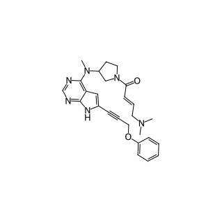 CN(C)C/C=C/C(=O)N1CCC(N(C)c2ncnc3[nH]c(C#CCOc4ccccc4)cc23)C1